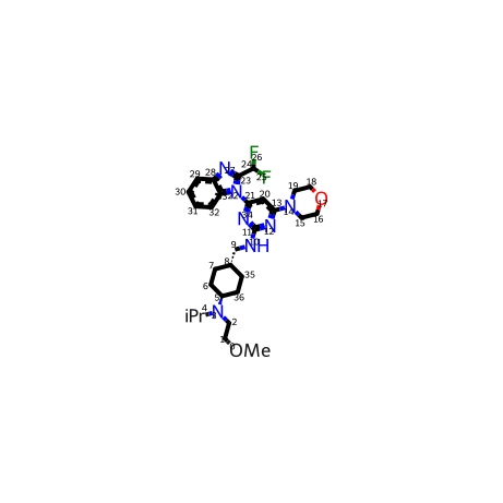 COCCN(C(C)C)[C@H]1CC[C@H](CNc2nc(N3CCOCC3)cc(-n3c(C(F)F)nc4ccccc43)n2)CC1